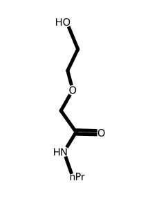 CCCNC(=O)COCCO